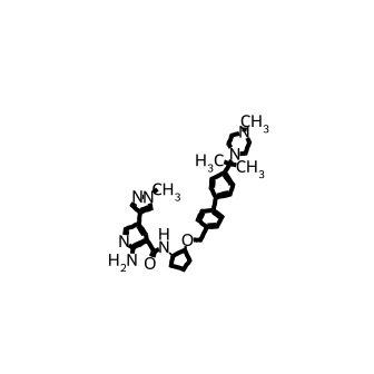 CN1CCN(C(C)(C)c2ccc(-c3ccc(CO[C@H]4CCC[C@@H]4NC(=O)c4cc(-c5cnn(C)c5)cnc4N)cc3)cc2)CC1